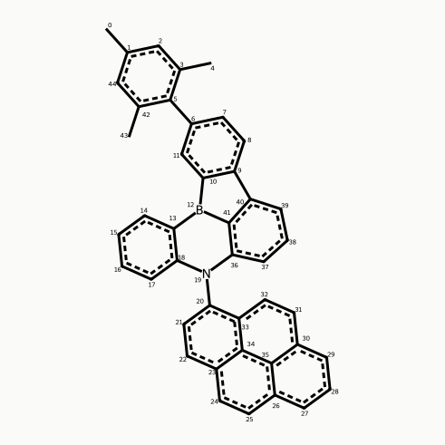 Cc1cc(C)c(-c2ccc3c(c2)B2c4ccccc4N(c4ccc5ccc6cccc7ccc4c5c67)c4cccc-3c42)c(C)c1